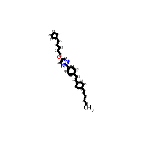 CCCCCCC1CCC(CCc2ccc(-c3ncc(OCCCCCC4CCCC4)cn3)cc2)CC1